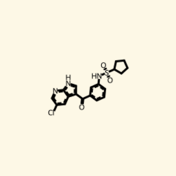 O=C(c1cccc(NS(=O)(=O)C2CCCC2)c1)c1c[nH]c2ncc(Cl)cc12